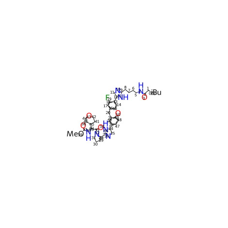 CC[C@H](C)CC(=O)NCCCCC1=NCC(c2cc3c(cc2F)Cc2cc(C4CN=C([C@@H]5CCCN5C(=O)[C@@H](NC(=O)OC)C5CCOCC5)N4)ccc2O3)N1